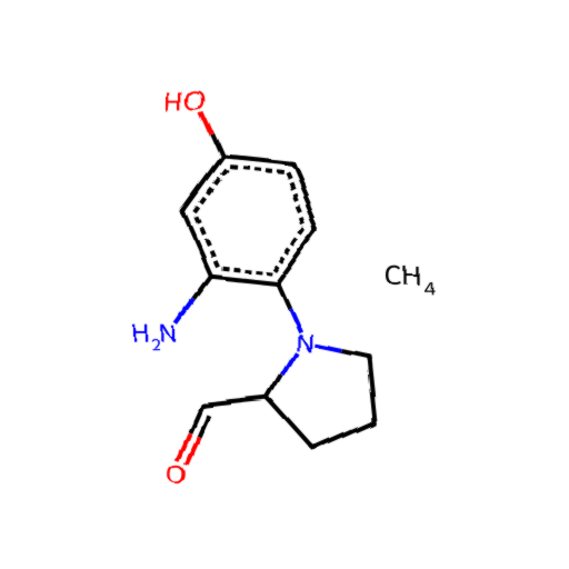 C.Nc1cc(O)ccc1N1CCCC1C=O